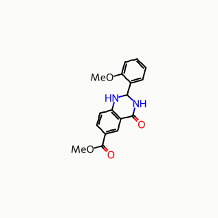 COC(=O)c1ccc2c(c1)C(=O)NC(c1ccccc1OC)N2